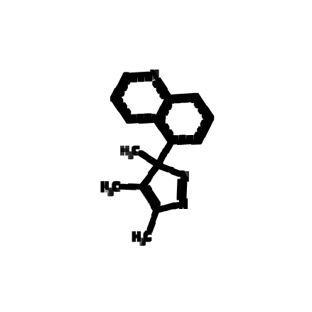 CC1=C(C)C(C)(c2cccc3ncccc23)N=N1